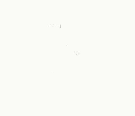 O=C(O)CC1CCc2ccccc2NC1=O